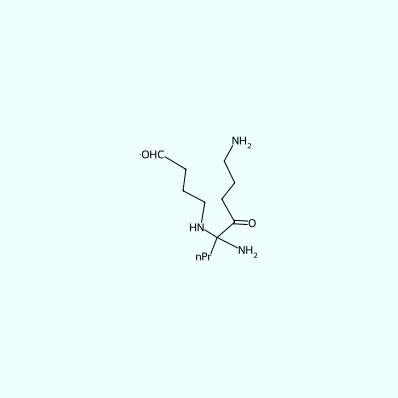 CCCC(N)(NCCC[C]=O)C(=O)CCCN